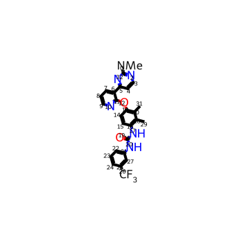 CNc1nccc(-c2cccnc2Oc2ccc(NC(=O)Nc3cccc(C(F)(F)F)c3)c(C)c2C)n1